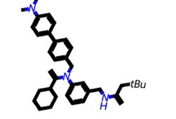 C=C(CC(C)(C)C)NCc1cccc(N(Cc2ccc(-c3ccc(N(C)C)cc3)cc2)C(=C)C2CCCCC2)c1